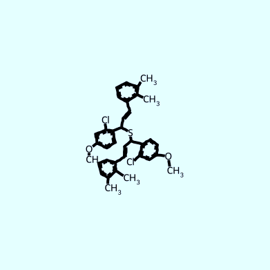 COc1ccc(C(C=Cc2cccc(C)c2C)SC(C=Cc2cccc(C)c2C)c2ccc(OC)cc2Cl)c(Cl)c1